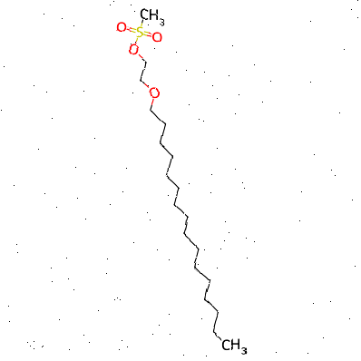 CCCCCCCCCCCCCCCCOCCOS(C)(=O)=O